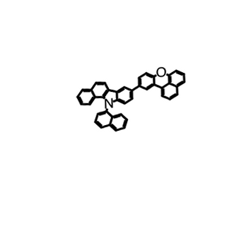 c1ccc2c(-n3c4ccc(-c5ccc6c(c5)-c5cccc7cccc(c57)O6)cc4c4ccc5ccccc5c43)cccc2c1